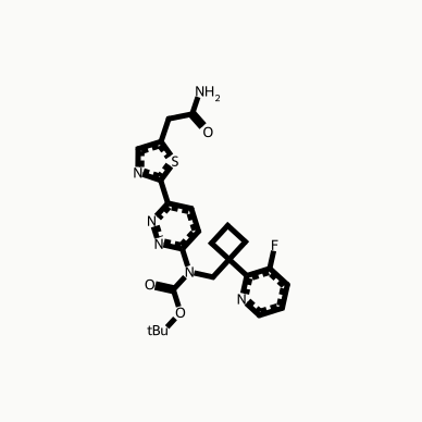 CC(C)(C)OC(=O)N(CC1(c2ncccc2F)CCC1)c1ccc(-c2ncc(CC(N)=O)s2)nn1